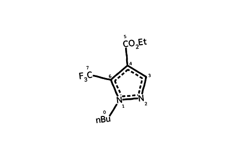 CCCCn1ncc(C(=O)OCC)c1C(F)(F)F